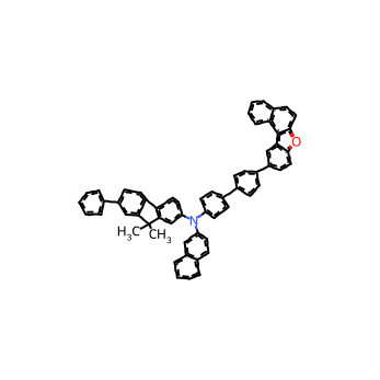 CC1(C)c2cc(-c3ccccc3)ccc2-c2ccc(N(c3ccc(-c4ccc(-c5ccc6oc7ccc8ccccc8c7c6c5)cc4)cc3)c3ccc4ccccc4c3)cc21